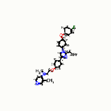 Cc1cnccc1N(C)CCOc1ccc(-c2cn(-c3ccc(OC4=CC=C(F)CC4)cc3)c(CC(C)C)n2)cc1